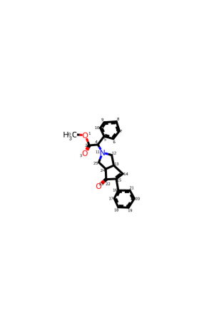 COC(=O)C(c1ccccc1)N1CC2C=C(c3ccccc3)C(=O)C2C1